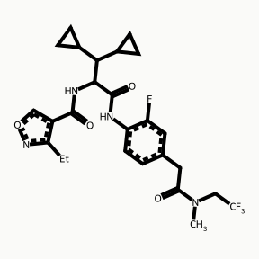 CCc1nocc1C(=O)NC(C(=O)Nc1ccc(CC(=O)N(C)CC(F)(F)F)cc1F)C(C1CC1)C1CC1